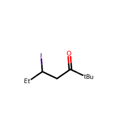 CCC(I)CC(=O)C(C)(C)C